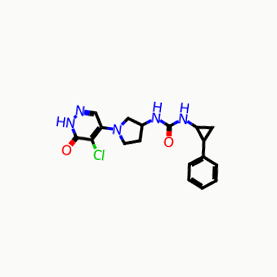 O=C(NC1CCN(c2cn[nH]c(=O)c2Cl)C1)NC1CC1c1ccccc1